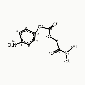 CCN(CC)C(=O)COC(=O)Oc1ccc([N+](=O)[O-])cc1